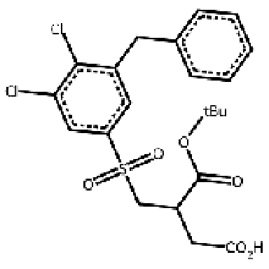 CC(C)(C)OC(=O)C(CC(=O)O)CS(=O)(=O)c1cc(Cl)c(Cl)c(Cc2ccccc2)c1